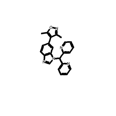 Cc1noc(C)c1-c1ccc2ncn(C(c3ccccn3)c3ccccn3)c2c1